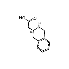 O=C(O)C[C@@H]1Cc2ccccc2CN1